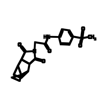 CS(=O)(=O)c1ccc(NC(=O)CN2C(=O)C3C(C2=O)C2CCC3C23CC3)cc1